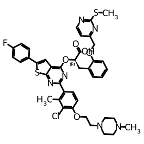 CSc1nccc(COc2ccccc2C[C@@H](Oc2nc(-c3ccc(OCCN4CCN(C)CC4)c(Cl)c3C)nc3sc(-c4ccc(F)cc4)cc23)C(=O)O)n1